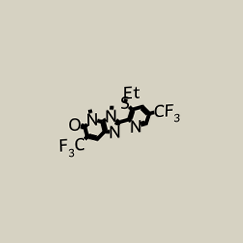 CCSc1cc(C(F)(F)F)cnc1-c1nc2cc(C(F)(F)F)c(=O)n(C)c2n1C